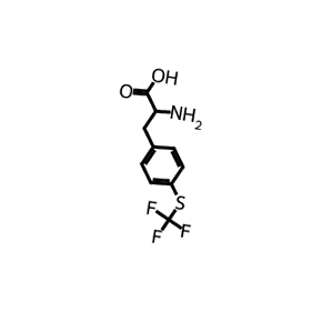 NC(Cc1ccc(SC(F)(F)F)cc1)C(=O)O